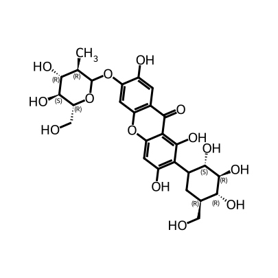 C[C@H]1C(Oc2cc3oc4cc(O)c(C5C[C@H](CO)[C@@H](O)[C@H](O)[C@H]5O)c(O)c4c(=O)c3cc2O)O[C@H](CO)[C@@H](O)[C@@H]1O